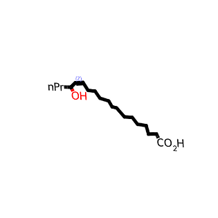 CCCC(O)/C=C\CCCCCCCCCCCCC(=O)O